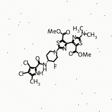 COC(=O)c1sc(N(C)C)nc1-c1nc(N2CC[C@@H](NC(=O)c3[nH]c(C)c(Cl)c3Cl)[C@@H](F)C2)sc1C(=O)OC